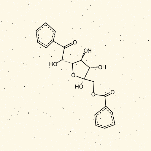 O=C(OC[C@@]1(O)O[C@H](C(O)C(=O)c2ccccc2)[C@@H](O)[C@@H]1O)c1ccccc1